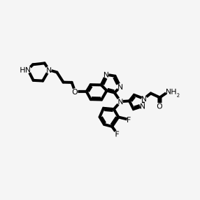 NC(=O)Cn1cc(N(c2cccc(F)c2F)c2ncnc3cc(OCCCN4CCNCC4)ccc23)cn1